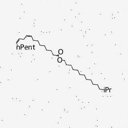 CCCCC/C=C\C/C=C\CCCCCCCC(=O)OCCCCCCCCCCCCC(C)C